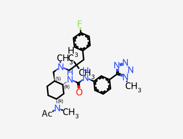 CC(=O)N(C)[C@@H]1CC[C@@H](CN(C)CC(C)(C)Cc2ccc(F)cc2)[C@H](NC(=O)Nc2cccc(-c3nnnn3C)c2)C1